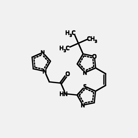 CC(C)(C)c1cnc(/C=C\c2cnc(NC(=O)Cn3ccnc3)s2)o1